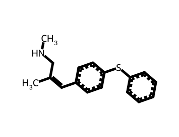 CNCC(C)=Cc1ccc(Sc2ccccc2)cc1